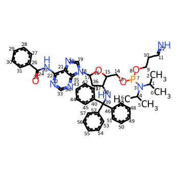 CC(C)N(C(C)C)P(OCCC=N)OCC1OC(n2cnc3c(NC(=O)c4ccccc4)ncnc32)CC1NC(c1ccccc1)(c1ccccc1)c1ccccc1